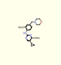 COc1cc(CN2CCOCC2)ccc1Nc1ncc(C2CC2)c(OC)n1